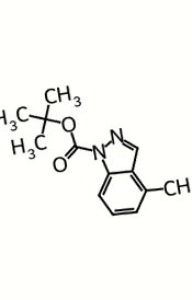 Cc1cccc2c1cnn2C(=O)OC(C)(C)C